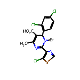 CCN1C(c2ncsc2Cl)=NC(C)=C(C(=O)O)C1c1ccc(Cl)cc1Cl